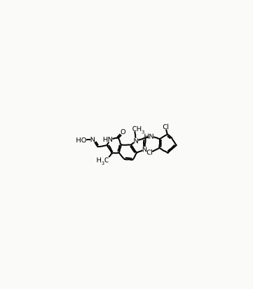 Cc1c(/C=N/O)[nH]c(=O)c2c1ccc1nc(Nc3c(Cl)cccc3Cl)n(C)c12